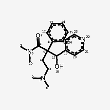 CN(C)CCC(C(=O)N(C)C)(c1ccccc1)C(O)c1ccncc1